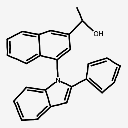 CC(O)c1cc(-n2c(-c3ccccc3)cc3ccccc32)c2ccccc2c1